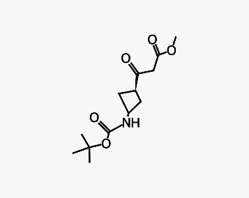 COC(=O)CC(=O)[C@H]1C[C@H](NC(=O)OC(C)(C)C)C1